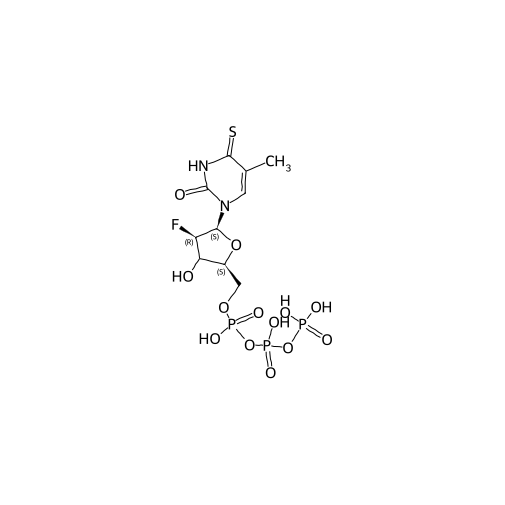 Cc1cn([C@H]2O[C@@H](COP(=O)(O)OP(=O)(O)OP(=O)(O)O)C(O)[C@H]2F)c(=O)[nH]c1=S